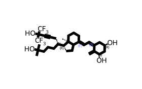 C=C1/C(=C\C=C2/CCC[C@@]3(C)C2CC[C@@H]3[C@@H](CC#CC(O)(C(F)(F)F)C(F)(F)F)CCCC(C)(C)O)C[C@@H](O)C[C@@H]1O